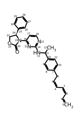 C=C/C=C\C=C/Cc1ccc(C(C)Nc2nccc(N3C(=O)OC[C@H]3c3ccccc3)n2)cc1